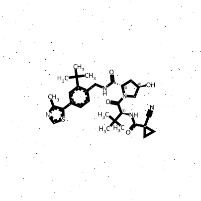 Cc1ncsc1-c1ccc(CNC(=O)[C@@H]2C[C@@H](O)CN2C(=O)[C@@H](NC(=O)C2(C#N)CC2)C(C)(C)C)c(C(C)(C)C)c1